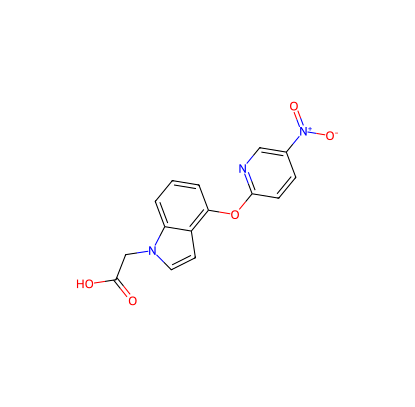 O=C(O)Cn1ccc2c(Oc3ccc([N+](=O)[O-])cn3)cccc21